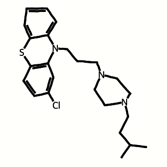 CC(C)CCN1CCN(CCCN2c3ccccc3Sc3ccc(Cl)cc32)CC1